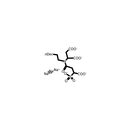 CCCCCCCCCCCCN(C(=O)CC(C(=O)[O-])S(=O)(=O)[O-])C(CC(=O)[O-])C(=O)[O-].[Na+].[Na+].[Na+].[Na+]